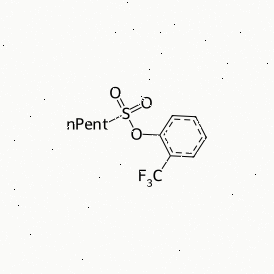 CCCCCS(=O)(=O)Oc1ccccc1C(F)(F)F